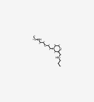 CCCNCC1CN(CCOCCNSC)CCO1